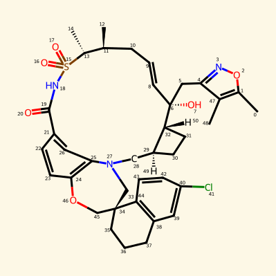 Cc1onc(C[C@]2(O)/C=C/C[C@H](C)[C@@H](C)S(=O)(=O)NC(=O)c3ccc4c(c3)N(C[C@@H]3CC[C@H]32)C[C@@]2(CCCc3cc(Cl)ccc32)CO4)c1C